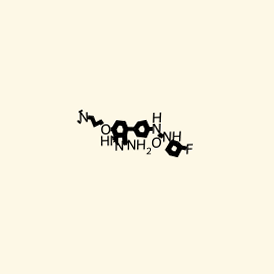 CN(C)CCCOc1ccc(-c2ccc(NC(=O)Nc3cccc(F)c3)cc2)c2c(N)n[nH]c12